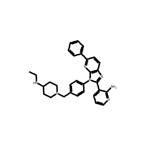 CCNC1CCN(Cc2ccc(-n3c(-c4cccnc4N)nc4ccc(-c5ccccc5)nc43)cc2)CC1